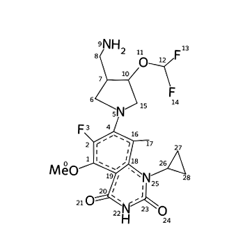 COc1c(F)c(N2CC(CN)C(OC(F)F)C2)c(C)c2c1c(=O)[nH]c(=O)n2C1CC1